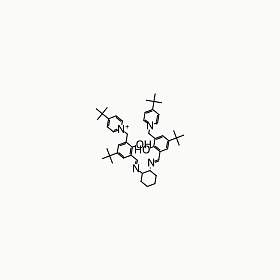 CC(C)(C)c1cc[n+](Cc2cc(C(C)(C)C)cc(/C=N/C3CCCC[C@H]3/N=C/c3cc(C(C)(C)C)cc(C[n+]4ccc(C(C)(C)C)cc4)c3O)c2O)cc1